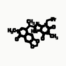 CC(C)Cn1c(=O)n(C)c(=O)c2[nH]c(C(C)c3cn(C)c(=O)c4cc5c(cc34)OCO5)nc21